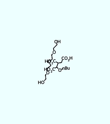 CCCCOC(C(=O)O)C(CC(=O)O)C(=O)O.OCCOCCOCCOCCO